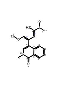 CCO/C=C(/C=C(\S)[S+]([O-])CC)c1cn(C)c(=O)c2ccccc12